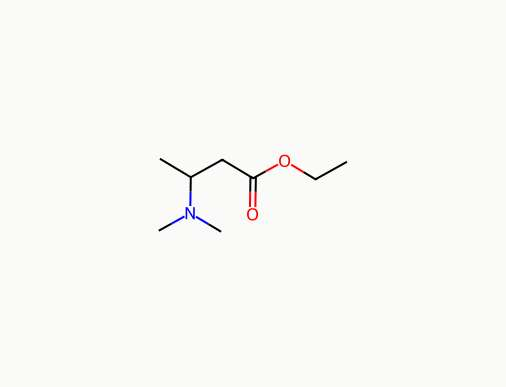 CCOC(=O)CC(C)N(C)C